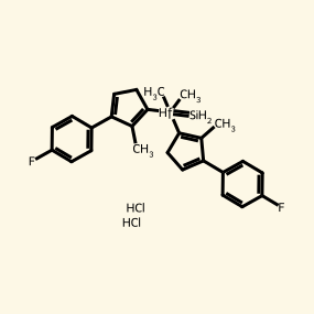 CC1=[C]([Hf]([CH3])([CH3])(=[SiH2])[C]2=C(C)C(c3ccc(F)cc3)=CC2)CC=C1c1ccc(F)cc1.Cl.Cl